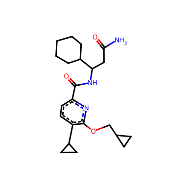 NC(=O)CC(NC(=O)c1ccc(C2CC2)c(OCC2CC2)n1)C1CCCCC1